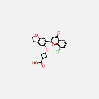 O=c1cc(-c2cc3c(cc2O[C@H]2C[C@H](C(=O)O)C2)CCO3)oc2c(Cl)cccc12